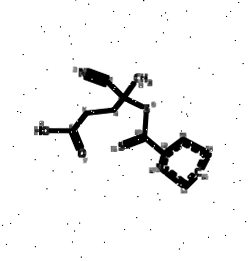 CC(C#N)(CCC(=O)O)SC(=S)c1ccccn1